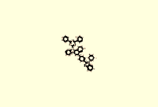 c1ccc(-c2nc(-c3ccccc3)nc(-n3c4ccccc4c4cc(-c5ccc(-c6nc7ccccc7n6-c6ccccc6)cc5)c5ccccc5c43)n2)cc1